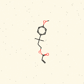 C=CC(=O)OCCC(C)(C)c1ccc(OC)cc1